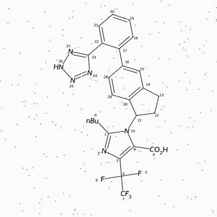 CCCCc1nc(C(F)(F)C(F)(F)F)c(C(=O)O)n1C1CCc2cc(-c3ccccc3-c3nn[nH]n3)ccc21